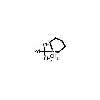 C[C](C)([Pd])[Si]1(C)CCCCC1